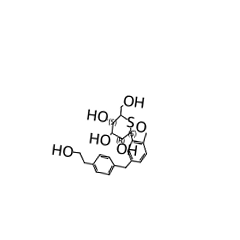 OCCc1ccc(Cc2ccc3c(c2)[C@]2(OC3)SC(CO)[C@@H](O)C(O)[C@H]2O)cc1